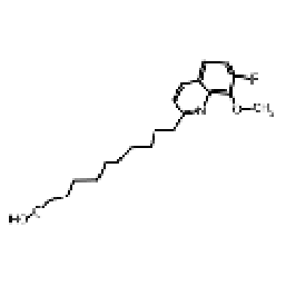 COc1c(F)ccc2ccc(CCCCCCCCCCCO)nc12